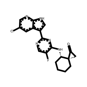 O=C1C[C@@]12CCCC[C@@H]2Nc1nc(-c2c[nH]c3ncc(Cl)cc23)ncc1F